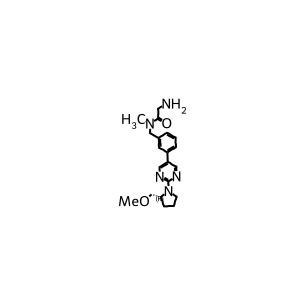 COC[C@H]1CCCN1c1ncc(-c2cccc(CN(C)C(=O)CN)c2)cn1